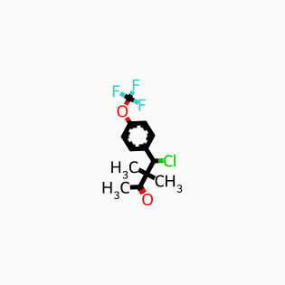 CC(=O)C(C)(C)C(Cl)c1ccc(OC(F)(F)F)cc1